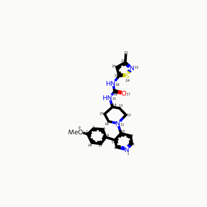 COc1ccc(-c2cnccc2N2CCC(NC(=O)Nc3cc(C)ns3)CC2)cc1